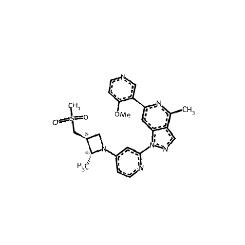 COc1ccncc1-c1cc2c(cnn2-c2cc(N3C[C@H](CS(C)(=O)=O)[C@H]3C)ccn2)c(C)n1